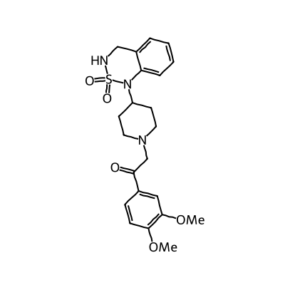 COc1ccc(C(=O)CN2CCC(N3c4ccccc4CNS3(=O)=O)CC2)cc1OC